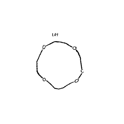 C1COCCOCCOCCO1.[LiH]